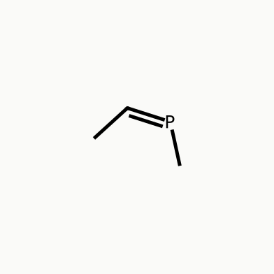 C/C=P\C